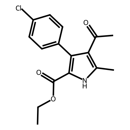 CCOC(=O)c1[nH]c(C)c(C(C)=O)c1-c1ccc(Cl)cc1